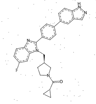 O=C(C1CC1)N1CC[C@@H](Cn2c(-c3ccc(-c4ccc5[nH]ncc5c4)cc3)nc3ccc(F)cc32)C1